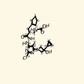 O=C(O)NC[C@@H](CC1CCCC1)C(=O)NNc1nc(Cl)nc(N2CC(O)(C3CC3)C2)c1F